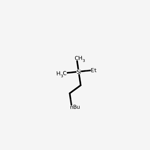 CCCCCC[Si](C)(C)CC